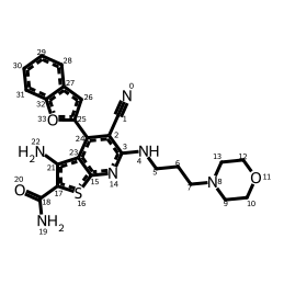 N#Cc1c(NCCCN2CCOCC2)nc2sc(C(N)=O)c(N)c2c1-c1cc2ccccc2o1